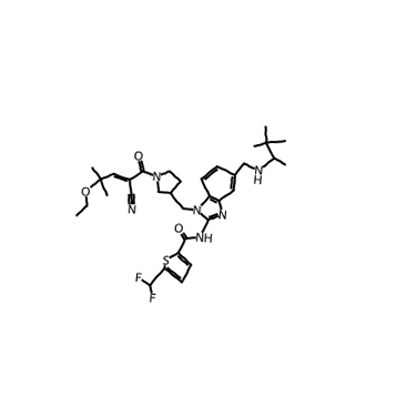 CCOC(C)(C)C=C(C#N)C(=O)N1CCC(Cn2c(NC(=O)c3ccc(C(F)F)s3)nc3cc(CNC(C)C(C)(C)C)ccc32)C1